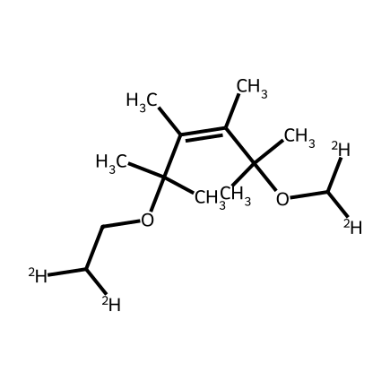 [2H]C([2H])COC(C)(C)/C(C)=C(/C)C(C)(C)OC([2H])[2H]